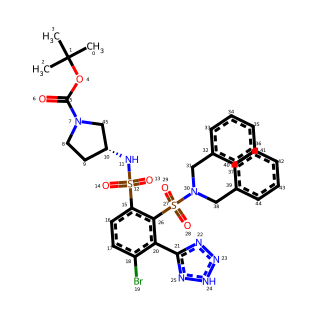 CC(C)(C)OC(=O)N1CC[C@@H](NS(=O)(=O)c2ccc(Br)c(-c3nn[nH]n3)c2S(=O)(=O)N(Cc2ccccc2)Cc2ccccc2)C1